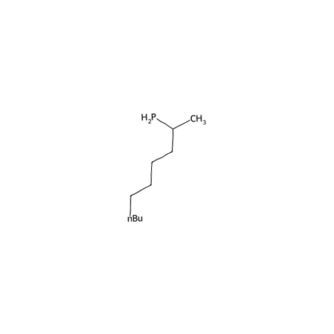 CCCCCCCCC(C)P